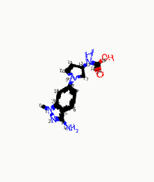 Cn1nc(N)c2ccc(N3CCC(NC(=O)O)C3)cc21